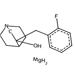 OC1(Cc2ccccc2F)CN2CCC1CC2.[MgH2]